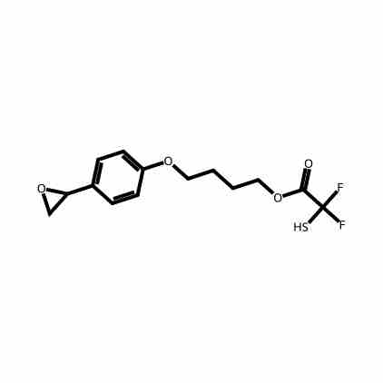 O=C(OCCCCOc1ccc(C2CO2)cc1)C(F)(F)S